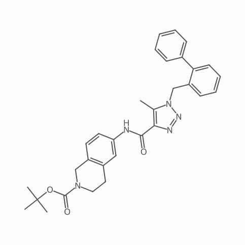 Cc1c(C(=O)Nc2ccc3c(c2)CCN(C(=O)OC(C)(C)C)C3)nnn1Cc1ccccc1-c1ccccc1